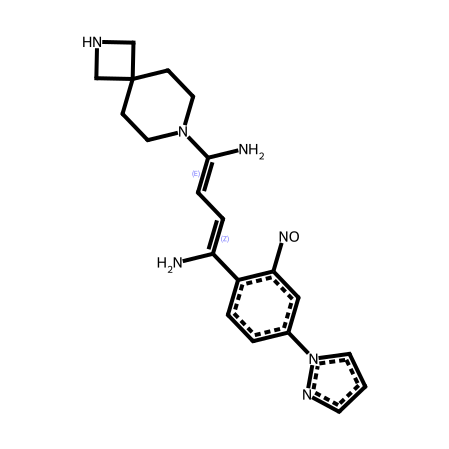 N/C(=C\C=C(/N)N1CCC2(CC1)CNC2)c1ccc(-n2cccn2)cc1N=O